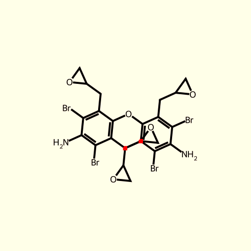 Nc1c(Br)c(CC2CO2)c(Oc2c(CC3CO3)c(Br)c(N)c(Br)c2CC2CO2)c(CC2CO2)c1Br